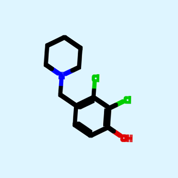 Oc1ccc(CN2CCCCC2)c(Cl)c1Cl